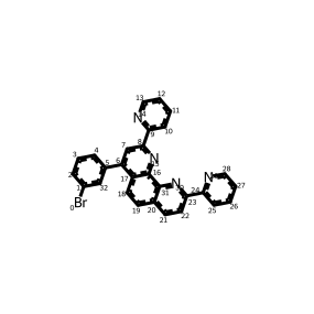 Brc1cccc(-c2cc(-c3ccccn3)nc3c2ccc2ccc(-c4ccccn4)nc23)c1